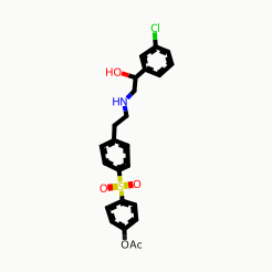 CC(=O)Oc1ccc(S(=O)(=O)c2ccc(CCNCC(O)c3cccc(Cl)c3)cc2)cc1